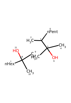 CCCCCC(C)C(C)(C)O.CCCCCCC(C)(C)O